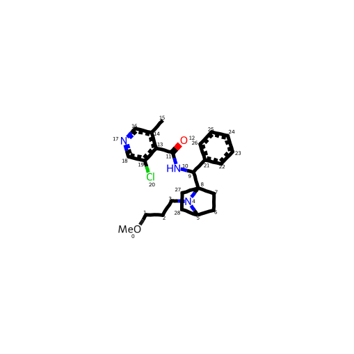 COCCCN1C2CCC1(C(NC(=O)c1c(C)cncc1Cl)c1ccccc1)CC2